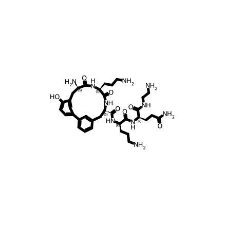 NCCC[C@@H]1NC(=O)[C@@H](N)Cc2cc(ccc2O)-c2cccc(c2)C[C@@H](C(=O)N[C@H](CCCN)C(=O)N[C@H](CCC(N)=O)C(=O)NCCN)NC1=O